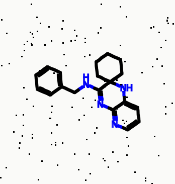 c1ccc(CNC2=Nc3ncccc3NC23CCCCC3)cc1